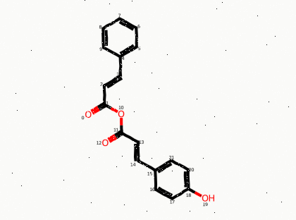 O=C(/C=C/c1ccccc1)OC(=O)/C=C/c1ccc(O)cc1